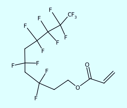 C=CC(=O)OCCC(F)(F)CC(F)(F)CC(F)(F)C(F)(F)C(F)(F)C(F)(F)F